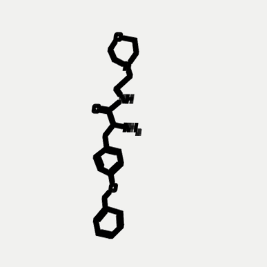 NC(Cc1ccc(OCc2ccccc2)cc1)C(=O)NCCN1CCOCC1